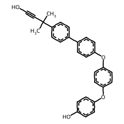 CC(C)(C#CO)c1ccc(-c2ccc(Oc3ccc(Oc4ccc(O)cc4)cc3)cc2)cc1